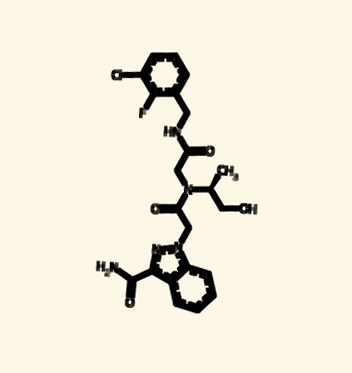 C[C@@H](CO)N(CC(=O)NCc1cccc(Cl)c1F)C(=O)Cn1nc(C(N)=O)c2ccccc21